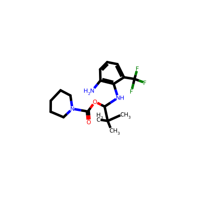 CC(C)(C)C(Nc1c(N)cccc1C(F)(F)F)OC(=O)N1CCCCC1